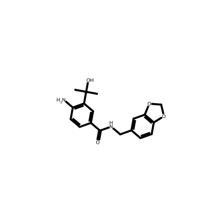 CC(C)(O)c1cc(C(=O)NCc2ccc3c(c2)OCO3)ccc1N